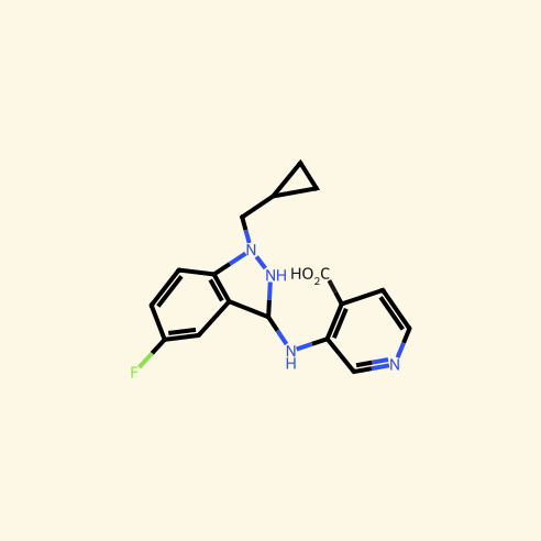 O=C(O)c1ccncc1NC1NN(CC2CC2)c2ccc(F)cc21